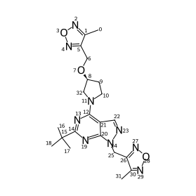 Cc1nonc1CO[C@H]1CCN(c2nc(C(C)(C)C)nc3c2cnn3Cc2nonc2C)C1